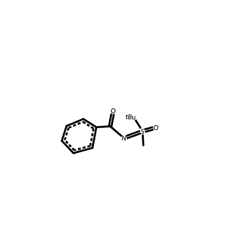 CC(C)(C)S(C)(=O)=NC(=O)c1ccccc1